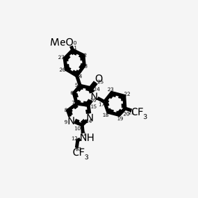 COc1ccc(-c2cc3cnc(NCC(F)(F)F)nc3n(-c3ccc(C(F)(F)F)cc3)c2=O)cc1